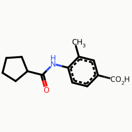 Cc1cc(C(=O)O)ccc1NC(=O)C1CCCC1